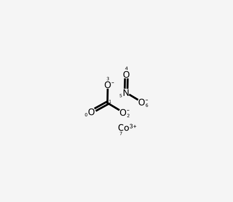 O=C([O-])[O-].O=N[O-].[Co+3]